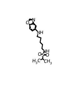 CC(C)S(=O)(=O)NCCCCCNc1ccc2ocnc2c1